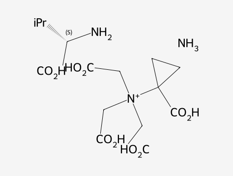 CC(C)[C@H](N)C(=O)O.N.O=C(O)C[N+](CC(=O)O)(CC(=O)O)C1(C(=O)O)CC1